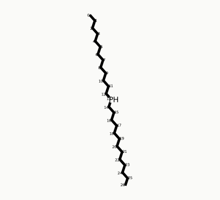 CCCCCCCCCCCCCPCCCCCCCCCCCCC